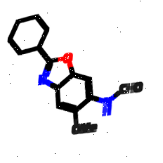 COC1=CC2N=C(C3CCCCC3)OC2C=C1NC=O